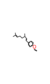 C=COc1ccc(/C=C/C(C)CCC=C(C)C)cc1